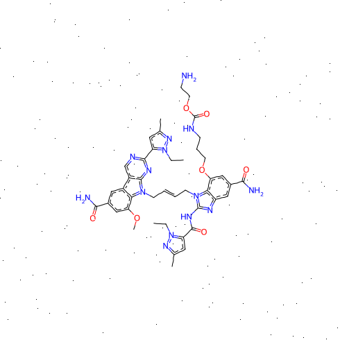 CCn1nc(C)cc1C(=O)Nc1nc2cc(C(N)=O)cc(OCCCNC(=O)OCCN)c2n1C/C=C/Cn1c2nc(-c3cc(C)nn3CC)ncc2c2cc(C(N)=O)cc(OC)c21